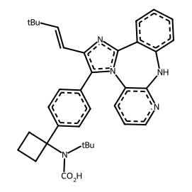 CC(C)(C)C=Cc1nc2n(c1-c1ccc(C3(N(C(=O)O)C(C)(C)C)CCC3)cc1)-c1cccnc1Nc1ccccc1-2